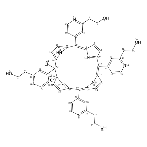 OCCc1cc(C2=C3C=CC(=N3)C(c3ccnc(CCO)c3)=c3ccc([nH]3)=C(c3ccnc(CCO)c3)C3=NC(Cl)(C=C3)C(Cl)(c3ccnc(CCO)c3)c3ccc2[nH]3)ccn1